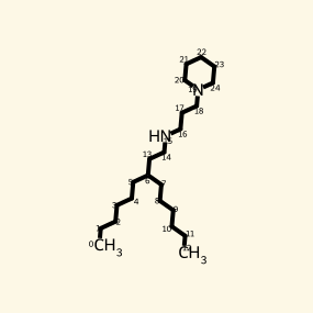 CCCCCCC(CCCCCC)CCNCCCN1CCCCC1